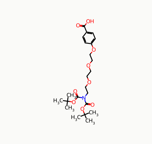 CC(C)(C)OC(=O)N(CCOCCOCCOc1ccc(C(=O)O)cc1)C(=O)OC(C)(C)C